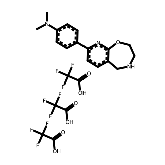 CN(C)c1ccc(-c2ccc3c(n2)OCCNC3)cc1.O=C(O)C(F)(F)F.O=C(O)C(F)(F)F.O=C(O)C(F)(F)F